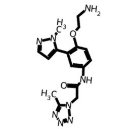 Cc1nnnn1CC(=O)Nc1ccc(OCCN)c(-c2ccnn2C)c1